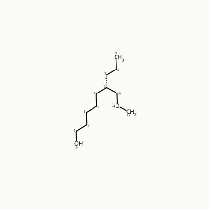 CCC[C@@H](CCCCCO)COC